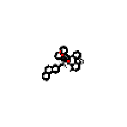 CC1C=Cc2oc3cccc(-c4ccc5ccccc5c4)c3c2C1c1nc(-c2ccccc2)nc(-c2ccc3c(ccc4ccccc43)c2)n1